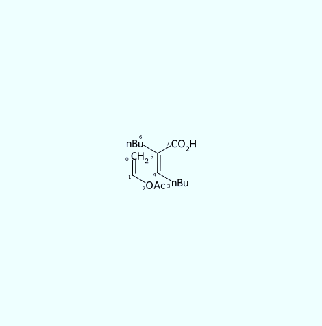 C=COC(C)=O.CCCCC=C(CCCC)C(=O)O